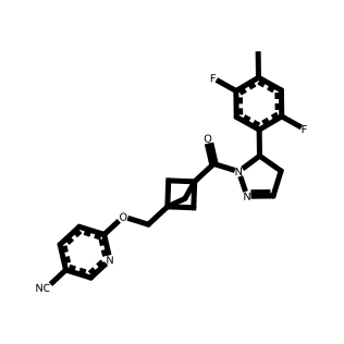 Cc1cc(F)c(C2CC=NN2C(=O)C23CC(COc4ccc(C#N)cn4)(C2)C3)cc1F